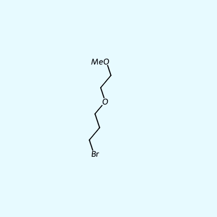 COCCOCCCBr